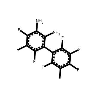 Cc1c(F)c(N)c(N)c(-c2c(F)c(C)c(F)c(F)c2F)c1F